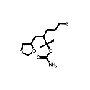 CC(C)(OC(N)=O)C(CCCBr)CC1=COCO1